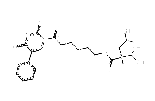 CC(C)CC(C)(C(=O)OCCCCCC(=O)n1cc(-c2ccccc2)c(=O)[nH]c1=S)C(C)C